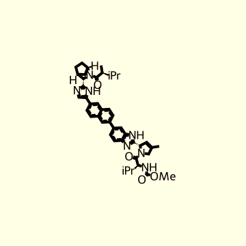 COC(=O)N[C@H](C(=O)N1CC(C)=C[C@H]1c1nc2ccc(-c3ccc4cc(-c5cnc([C@@H]6[C@@H]7CC[C@@H](C7)N6C(=O)[C@@H](C)C(C)C)[nH]5)ccc4c3)cc2[nH]1)C(C)C